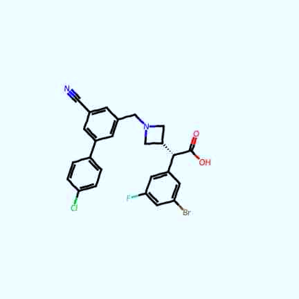 N#Cc1cc(CN2CC([C@H](C(=O)O)c3cc(F)cc(Br)c3)C2)cc(-c2ccc(Cl)cc2)c1